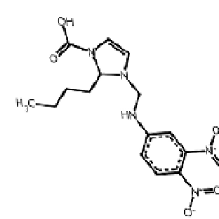 CCCCC1N(CNc2ccc([N+](=O)[O-])c([N+](=O)[O-])c2)C=CN1C(=O)O